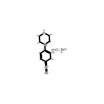 [Cl-].[Cl-].[N-]=[N+]=C1C=CC(N2CCOCC2)=CC1.[Zn+2]